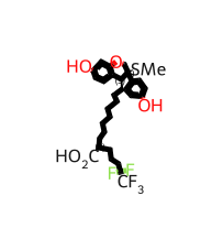 CS[C@@]1(c2ccc(O)cc2)COc2cc(O)ccc2[C@@H]1CCCCCCCC[C@H](CCCC(F)(F)C(F)(F)F)C(=O)O